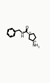 N[C@@H]1CC[C@H](C(=O)NCc2ccccc2)C1